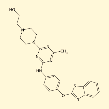 Cc1nc(Nc2ccc(Oc3nc4ccccc4s3)cc2)nc(N2CCN(CCO)CC2)n1